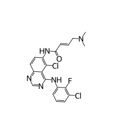 CN(C)C/C=C/C(=O)Nc1ccc2ncnc(Nc3cccc(Cl)c3F)c2c1Cl